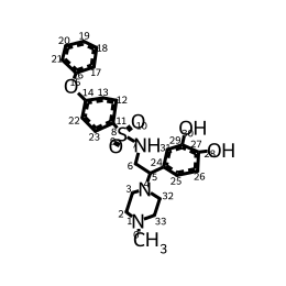 CN1CCN(C(CNS(=O)(=O)c2ccc(Oc3ccccc3)cc2)c2ccc(O)c(O)c2)CC1